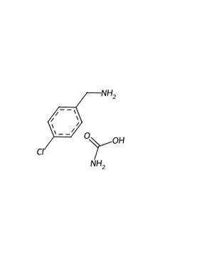 NC(=O)O.NCc1ccc(Cl)cc1